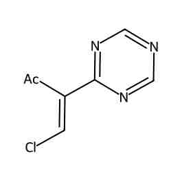 CC(=O)/C(=C\Cl)c1ncncn1